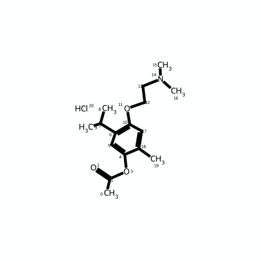 CC(=O)Oc1cc(C(C)C)c(OCCN(C)C)cc1C.Cl